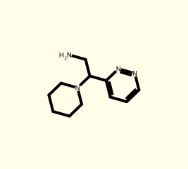 NCC(c1cccnn1)N1CCCCC1